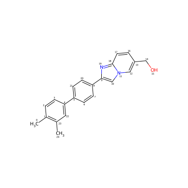 Cc1ccc(-c2ccc(-c3cn4cc(CO)ccc4n3)cc2)cc1C